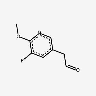 COc1ncc(CC=O)cc1F